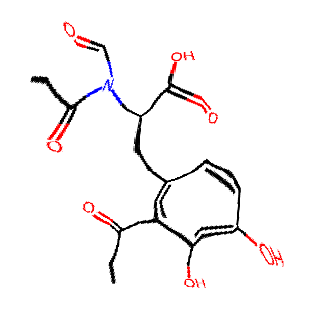 CC(=O)c1c(CC(C(=O)O)N(C=O)C(C)=O)ccc(O)c1O